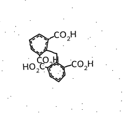 O=C(O)c1cccc(C(=O)O)c1Cc1c(C(=O)O)cccc1C(=O)O